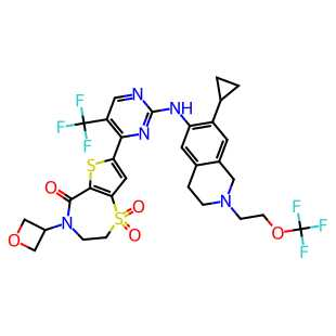 O=C1c2sc(-c3nc(Nc4cc5c(cc4C4CC4)CN(CCOC(F)(F)F)CC5)ncc3C(F)(F)F)cc2S(=O)(=O)CCN1C1COC1